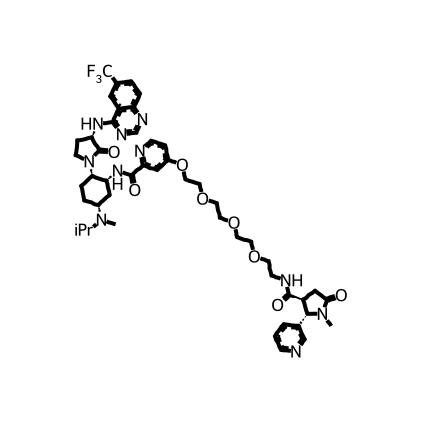 CC(C)N(C)[C@@H]1CC[C@H](N2CC[C@H](Nc3ncnc4ccc(C(F)(F)F)cc34)C2=O)[C@H](NC(=O)c2cc(OCCOCCOCCOCCNC(=O)[C@H]3CC(=O)N(C)[C@@H]3c3cccnc3)ccn2)C1